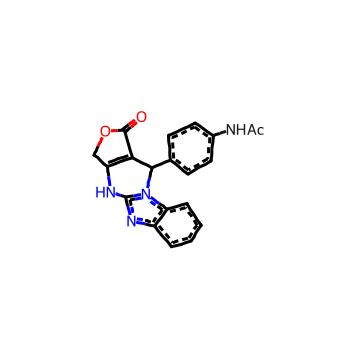 CC(=O)Nc1ccc(C2C3=C(COC3=O)Nc3nc4ccccc4n32)cc1